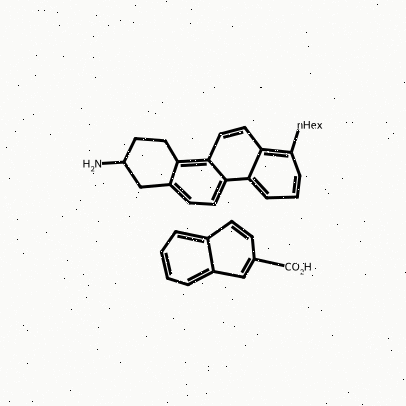 CCCCCCc1cccc2c1ccc1c3c(ccc12)CC(N)CC3.O=C(O)c1ccc2ccccc2c1